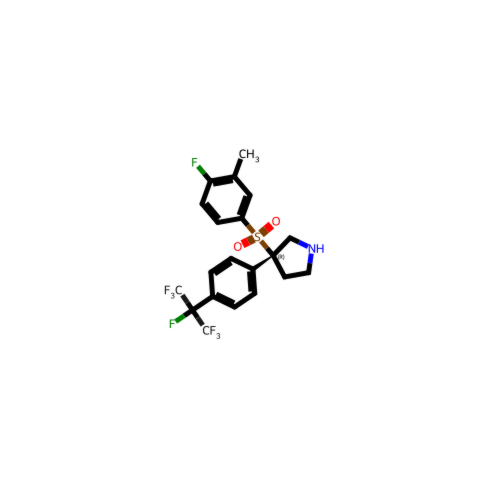 Cc1cc(S(=O)(=O)[C@@]2(c3ccc(C(F)(C(F)(F)F)C(F)(F)F)cc3)CCNC2)ccc1F